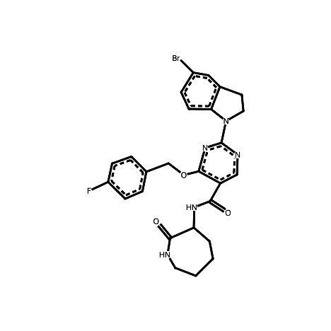 O=C(NC1CCCCNC1=O)c1cnc(N2CCc3cc(Br)ccc32)nc1OCc1ccc(F)cc1